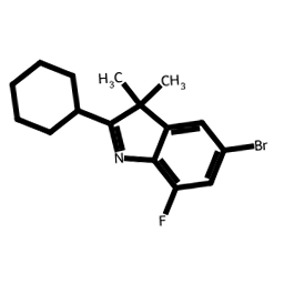 CC1(C)C(C2CCCCC2)=Nc2c(F)cc(Br)cc21